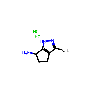 Cc1n[nH]c2c1CCC2N.Cl.Cl